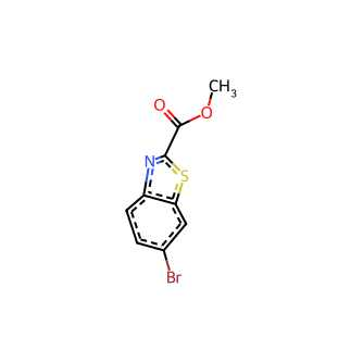 COC(=O)c1nc2ccc(Br)cc2s1